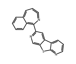 C1=CC=c2ccccc2=C(c2cc3c(cn2)sc2ncccc23)N=1